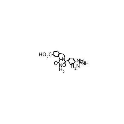 N=C(N)Nc1ccc(C(=O)N2CCc3ccc(C(=O)O)cc3C2C(N)=O)cc1